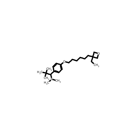 CCC1(CCCCCCOc2ccc(C(N(C)C)C(C)(C)C)cc2)COC1